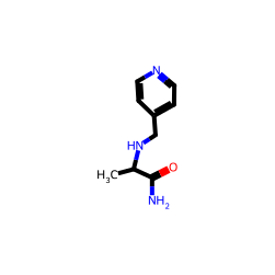 CC(NCc1ccncc1)C(N)=O